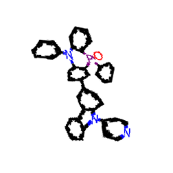 O=P1(c2ccccc2)c2ccccc2N(c2ccccc2)c2ccc(-c3ccc4c(c3)c3ccccc3n4-c3ccncc3)cc21